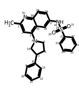 Cc1cc(N2CCC(c3ccccc3)C2)c2cc(NS(=O)(=O)c3ccccc3)ccc2n1